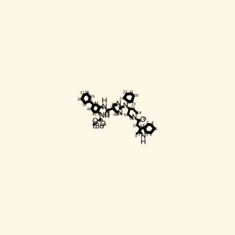 Cc1[nH]c2ccccc2c1CC(=O)N1CCC(N(c2ccccc2)c2ncc(C(=O)Nc3cc(-c4ccccc4)ccc3NC(=O)OC(C)(C)C)cn2)CC1